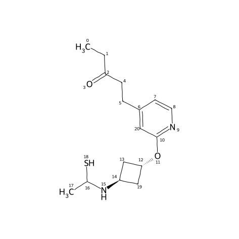 CCC(=O)CCc1ccnc(O[C@H]2C[C@H](NC(C)S)C2)c1